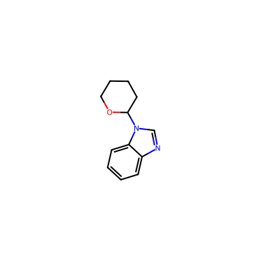 c1ccc2c(c1)ncn2C1CCCCO1